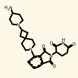 NC1CCN(C2CC3(CCN(c4cccc5c4C(=O)N(C4CCC(=O)NC4=O)C5=O)CC3)C2)CC1